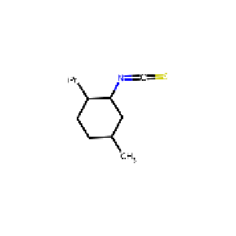 CC1CCC(C(C)C)C(N=C=S)C1